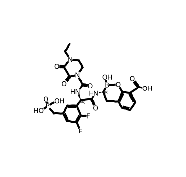 CCN1CCN(C(=O)N[C@@H](C(=O)N[C@H]2Cc3cccc(C(=O)O)c3OB2O)c2cc(CP(=O)(O)O)cc(F)c2F)C(=O)C1=O